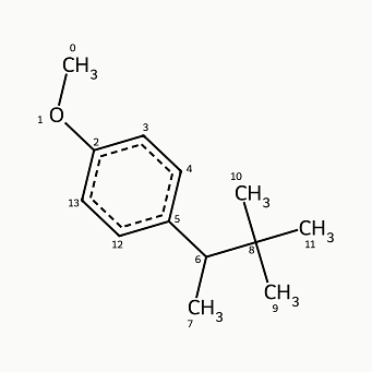 COc1ccc(C(C)C(C)(C)C)cc1